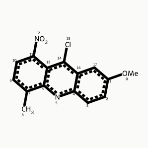 COc1ccc2nc3c(C)ccc([N+](=O)[O-])c3c(Cl)c2c1